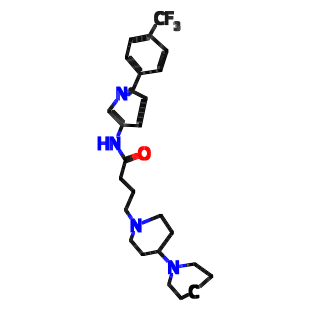 O=C(CCCN1CCC(N2CCCCC2)CC1)Nc1ccc(-c2ccc(C(F)(F)F)cc2)nc1